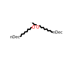 [CH2]C(COCCCCCCCCCCCCCCCCCC)OCCCCCCCCCCCCCCCCCC